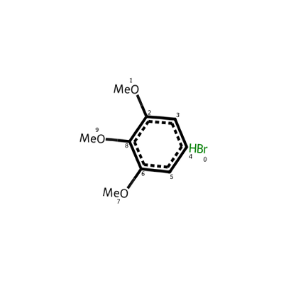 Br.COc1cccc(OC)c1OC